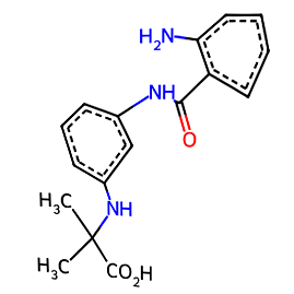 CC(C)(Nc1cccc(NC(=O)c2ccccc2N)c1)C(=O)O